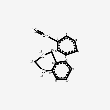 Cc1ccccc1.S=S.c1ccc2c(c1)CCCO2